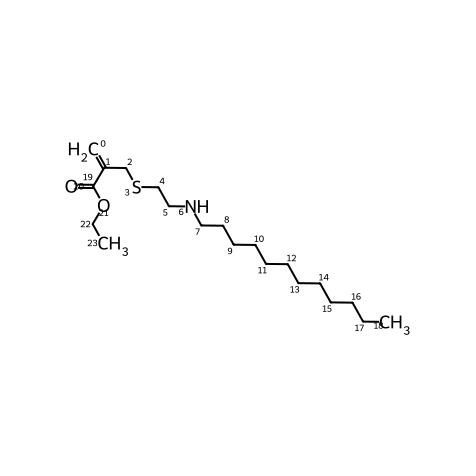 C=C(CSCCNCCCCCCCCCCCC)C(=O)OCC